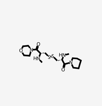 CN[C@@H](CSSC[C@H](NC)C(=O)N1CCOCC1)C(=O)N1CCCCC1